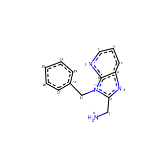 NCc1nc2cccnc2n1Cc1ccccc1